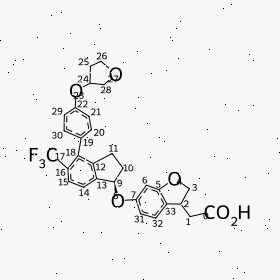 O=C(O)CC1COc2cc(O[C@@H]3CCc4c3ccc(C(F)(F)F)c4-c3ccc(OC4CCOC4)cc3)ccc21